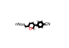 CCCCCCCCCCC1CCC(c2ccc(C#N)cc2)CO1